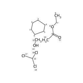 C1CCCCC1.CCOC(C)=O.CO.ClC(Cl)Cl